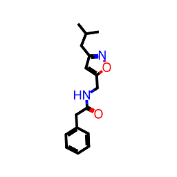 CC(C)Cc1cc(CNC(=O)Cc2ccccc2)on1